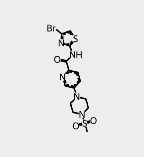 CS(=O)(=O)N1CCN(c2ccc(C(=O)Nc3nc(Br)cs3)nc2)CC1